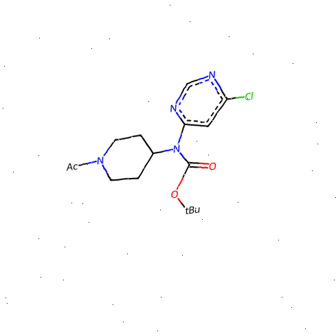 CC(=O)N1CCC(N(C(=O)OC(C)(C)C)c2cc(Cl)ncn2)CC1